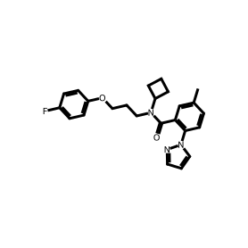 Cc1ccc(-n2cccn2)c(C(=O)N(CCCOc2ccc(F)cc2)C2CCC2)c1